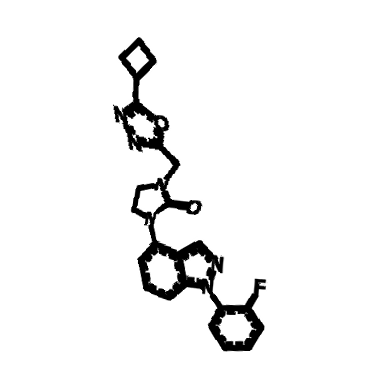 O=C1N(Cc2nnc(C3CCC3)o2)CCN1c1cccc2c1cnn2-c1ccccc1F